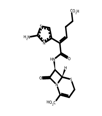 Nc1nc(C(=CCCC(=O)O)C(=O)N[C@@H]2C(=O)N3C(C(=O)O)=CCS[C@@H]23)cs1